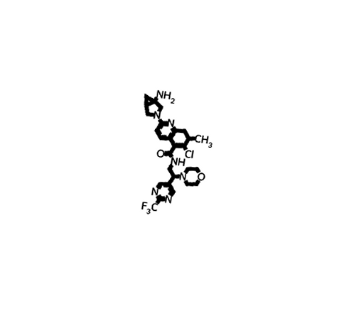 CC1Cc2nc(N3CC4CC4(N)C3)ccc2C(C(=O)NCC(c2cnc(C(F)(F)F)nc2)N2CCOCC2)=C1Cl